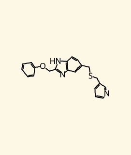 c1ccc(OCc2nc3cc(CSCc4cccnc4)ccc3[nH]2)cc1